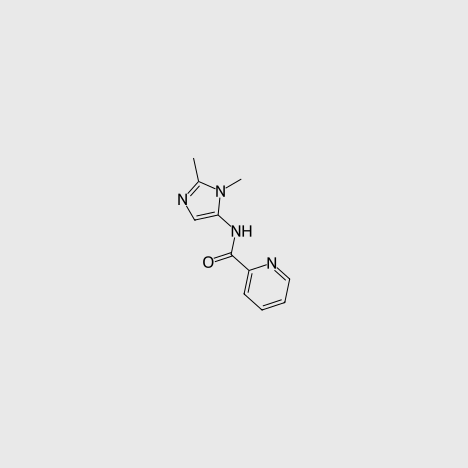 Cc1ncc(NC(=O)c2ccccn2)n1C